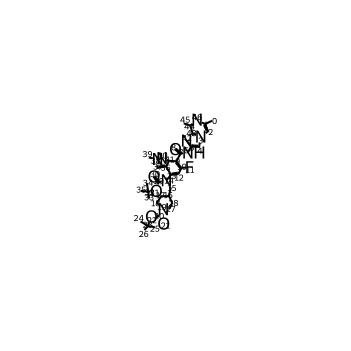 Cc1cn2cc(NC(=O)c3c(F)cc(N(CC4CCN(C(=O)OC(C)(C)C)CC4)C(=O)OC(C)(C)C)c4cn(C)nc34)nc2c(C)n1